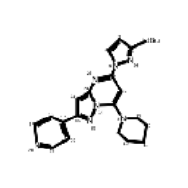 CC(C)(C)c1ccn(-c2cc(N3CCCCC3)n3nc(-c4ccncc4)cc3n2)n1